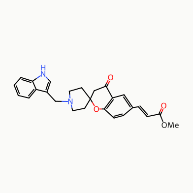 COC(=O)C=Cc1ccc2c(c1)C(=O)CC1(CCN(Cc3c[nH]c4ccccc34)CC1)O2